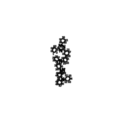 c1ccc(-c2nc(-c3ccccc3)nc(-c3cccc(-c4cccc(-n5c6ccccc6c6ccc(-n7ncc8c7ccc7c9ccccc9n(-c9ccccc9)c78)cc65)c4)c3)n2)cc1